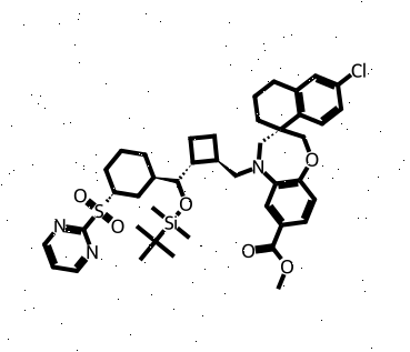 COC(=O)c1ccc2c(c1)N(C[C@@H]1CC[C@H]1C(O[Si](C)(C)C(C)(C)C)[C@@H]1CCC[C@@H](S(=O)(=O)c3ncccn3)C1)C[C@@]1(CCCc3cc(Cl)ccc31)CO2